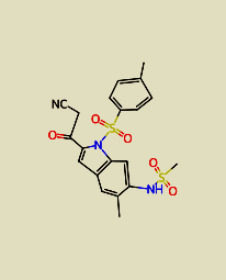 Cc1ccc(S(=O)(=O)n2c(C(=O)CC#N)cc3cc(C)c(NS(C)(=O)=O)cc32)cc1